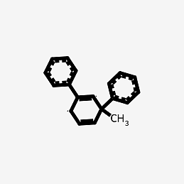 CC1(c2ccccc2)[C]=C(c2ccccc2)[CH]C=C1